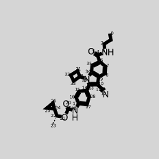 CCCNC(=O)c1ccc2c(C#N)c(-c3ccc(NC(=O)O[C@H](C)C4CC4)cc3)n(C3CCC3)c2c1